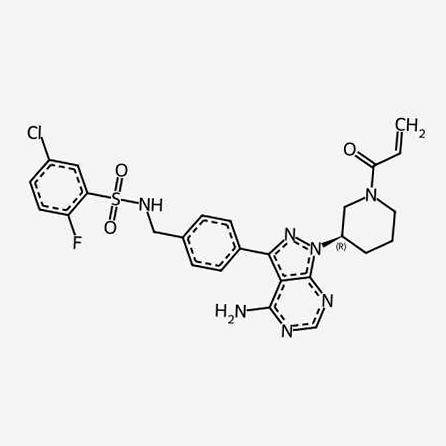 C=CC(=O)N1CCC[C@@H](n2nc(-c3ccc(CNS(=O)(=O)c4cc(Cl)ccc4F)cc3)c3c(N)ncnc32)C1